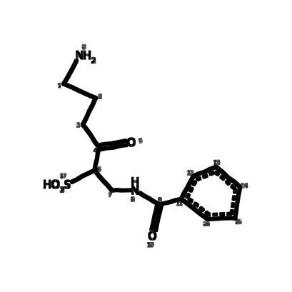 NCCCC(=O)C(CNC(=O)c1ccccc1)S(=O)(=O)O